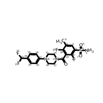 Cc1cc(S(N)(=O)=O)c(F)c(C(=O)N2CCN(c3ccc(C(F)F)cc3)CC2)c1F